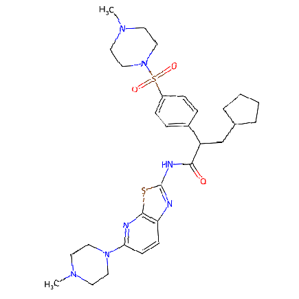 CN1CCN(c2ccc3nc(NC(=O)C(CC4CCCC4)c4ccc(S(=O)(=O)N5CCN(C)CC5)cc4)sc3n2)CC1